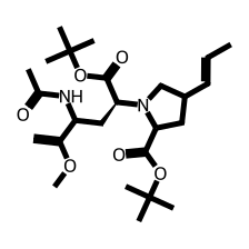 C=C(OC)C(C[C@@H](C(=O)OC(C)(C)C)N1CC(C=CC)CC1C(=O)OC(C)(C)C)NC(C)=O